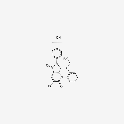 CC(C)(O)c1ccc(N2Cc3c(cc(Br)c(=O)n3-c3ccccc3OCC(F)(F)F)C2=O)cc1